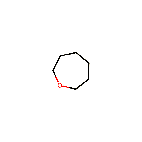 C1CCCOCC1